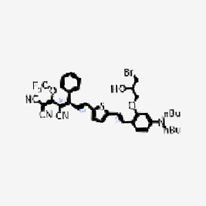 CCCCN(CCCC)c1ccc(/C=C/c2ccc(/C=C/C(=C(\C#N)C(OC(F)(F)F)=C(C#N)C#N)c3ccccc3)s2)c(OCC(O)CBr)c1